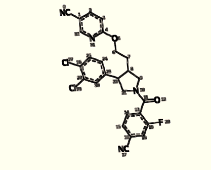 N#Cc1ccc(OCCC2CN(C(=O)c3ccc(C#N)cc3F)CC2c2ccc(Cl)c(Cl)c2)nc1